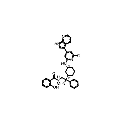 CNC(CNC(=O)c1ccccc1O)(c1ccccc1)[C@@H]1CCC[C@@H](Nc2cc(-c3c[nH]c4ncccc34)cc(Cl)n2)C1